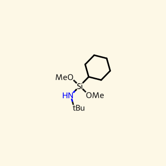 CO[Si](NC(C)(C)C)(OC)C1CCCCC1